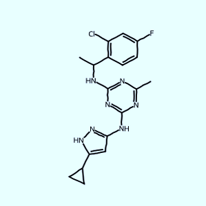 Cc1nc(Nc2cc(C3CC3)[nH]n2)nc(NC(C)c2ccc(F)cc2Cl)n1